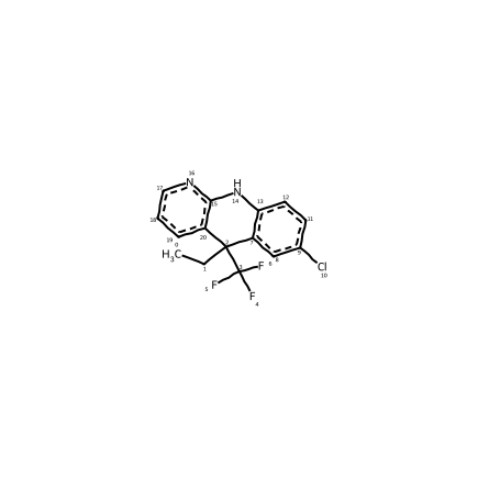 CCC1(C(F)(F)F)c2cc(Cl)ccc2Nc2ncccc21